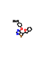 CNC1CCC(Oc2ncnc3scc(-c4cc5ccccc5o4)c23)CC1